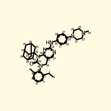 CCc1cccc(C)c1N1Cc2cnc(Nc3ccc(N4CCN(C)CC4)cc3)nc2N(C23CC4CC(CC(C4)C2)C3)C1=O